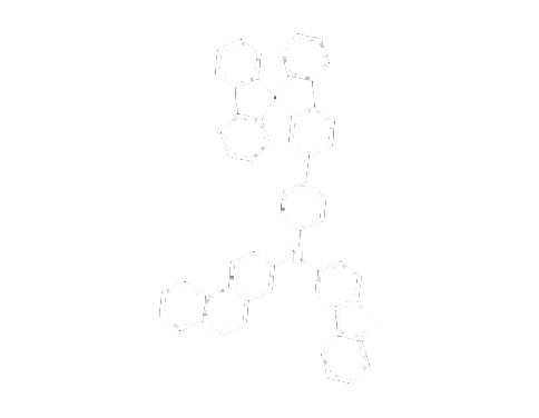 c1ccc2c(c1)-c1ccccc1C21c2ccccc2-c2ccc(-c3ccc(N(c4ccc5c(ccc6ccccc65)c4)c4ccc5sc6ccccc6c5c4)cc3)cc21